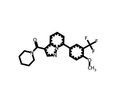 COc1ccc(-c2cccc3c(C(=O)N4CCCCC4)cnn23)cc1C(F)(F)F